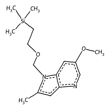 COc1cnc2cc(C)n(COCC[Si](C)(C)C)c2c1